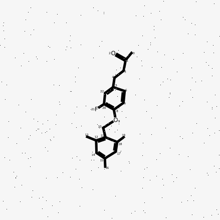 CC(=O)CCc1ccc(OCc2c(C)cc(C)cc2C)c(F)c1